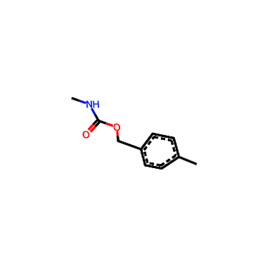 CNC(=O)OCc1ccc(C)cc1